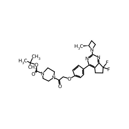 C[C@H]1CCN1c1nc(-c2ccc(OCC(=O)N3CCN(C(=O)OC(C)(C)C)CC3)cc2)c2c(n1)C(F)(F)CC2